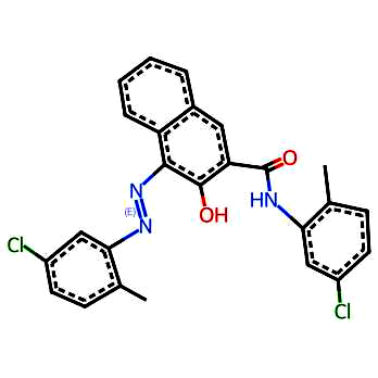 Cc1ccc(Cl)cc1/N=N/c1c(O)c(C(=O)Nc2cc(Cl)ccc2C)cc2ccccc12